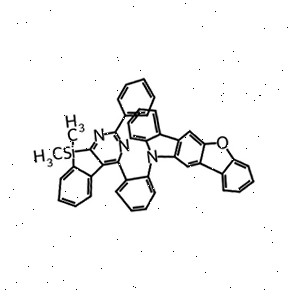 C[Si]1(C)c2ccccc2-c2c(-c3ccccc3-n3c4ccccc4c4cc5oc6ccccc6c5cc43)nc(-c3ccccc3)nc21